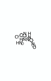 Clc1ccc2ncc(-c3nc4cc(N5CCOCC5)ccc4[nH]3)c(NCC3CCCN3)c2c1